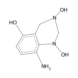 Nc1ccc(O)c2c1N(O)CN(O)C2